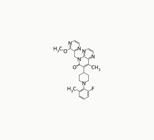 COc1nccnc1Cn1c(=O)c(C2CCN(c3c(C)cccc3F)CC2)c(C)c2nccnc21